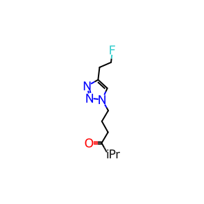 CC(C)C(=O)CCCn1cc(CCF)nn1